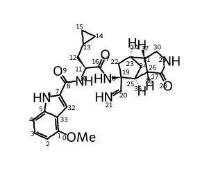 COc1cccc2[nH]c(C(=O)N[C@@H](CC3CC3)C(=O)N[C@@]3(C=N)C[C@@H]4C[C@H]3[C@H]3C(=O)NC[C@@H]43)cc12